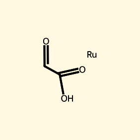 O=CC(=O)O.[Ru]